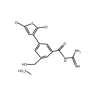 CS(=O)(=O)O.N=C(N)NC(=O)c1cc(CO)cc(-c2cc(Cl)sc2Cl)c1